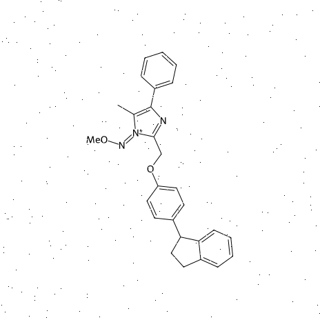 CON=[N+]1C(COc2ccc(C3CCc4ccccc43)cc2)=NC(c2ccccc2)=C1C